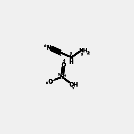 N#CNN.O=[N+]([O-])O